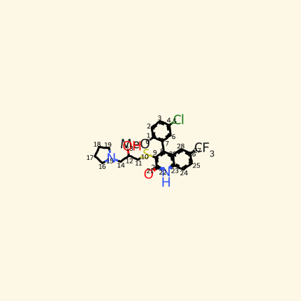 COc1ccc(Cl)cc1-c1c(SCC(O)CN2CCCC2)c(=O)[nH]c2ccc(C(F)(F)F)cc12